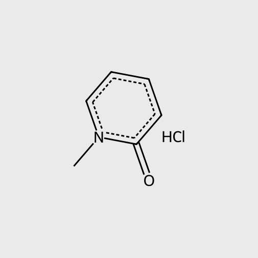 Cl.Cn1ccccc1=O